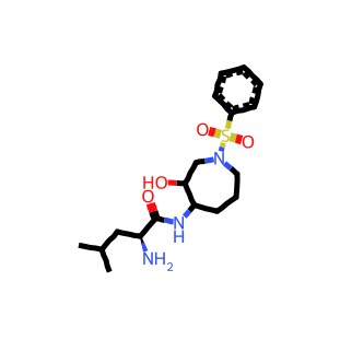 CC(C)C[C@H](N)C(=O)NC1CCCN(S(=O)(=O)c2ccccc2)CC1O